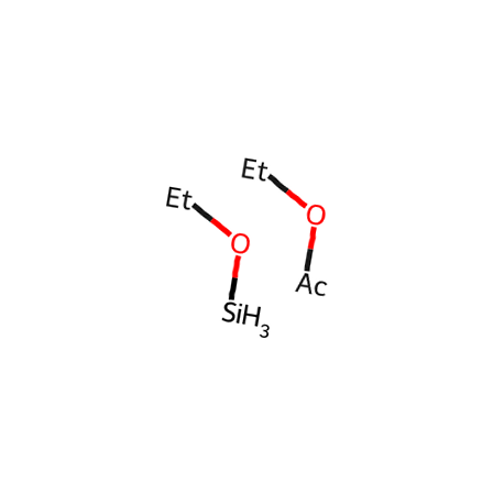 CCOC(C)=O.CCO[SiH3]